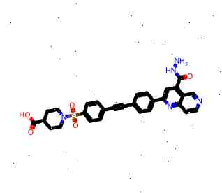 NNC(=O)c1cc(-c2ccc(C#Cc3ccc(S(=O)(=O)N4CCC(C(=O)O)CC4)cc3)cc2)nc2ccncc12